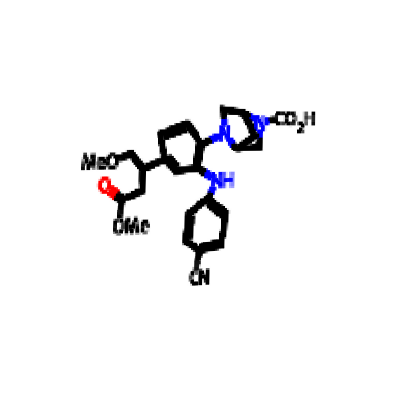 COCC(CC(=O)OC)c1ccc(N2CC3CC2CN3C(=O)O)c(Nc2ccc(C#N)cc2)c1